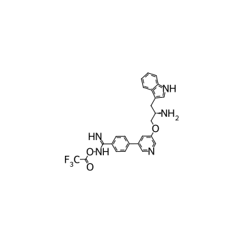 N=C(NOC(=O)C(F)(F)F)c1ccc(-c2cncc(OC[C@H](N)Cc3c[nH]c4ccccc34)c2)cc1